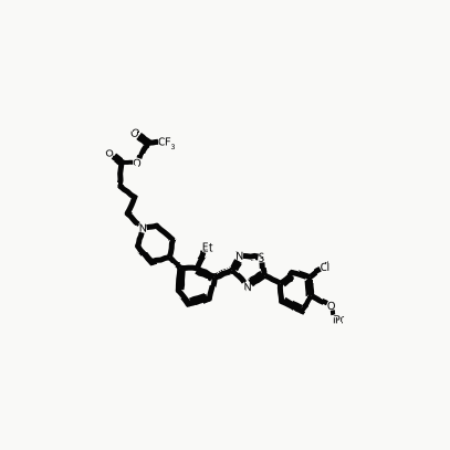 CCc1c(-c2nsc(-c3ccc(OC(C)C)c(Cl)c3)n2)cccc1C1CCN(CCCC(=O)OC(=O)C(F)(F)F)CC1